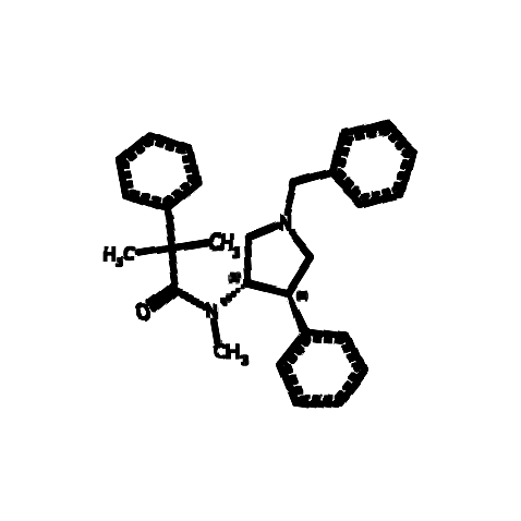 CN(C(=O)C(C)(C)c1ccccc1)[C@@H]1CN(Cc2ccccc2)C[C@H]1c1ccccc1